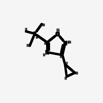 CS(C)(C)c1nc(C2CC2)no1